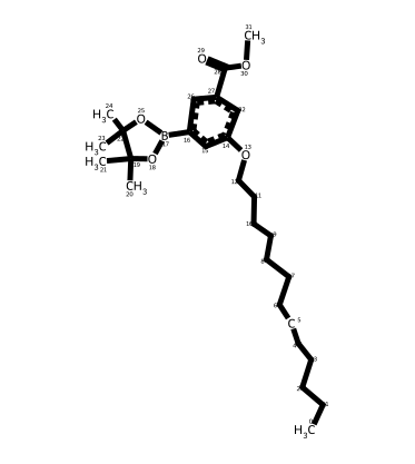 CCCCCCCCCCCCCOc1cc(B2OC(C)(C)C(C)(C)O2)cc(C(=O)OC)c1